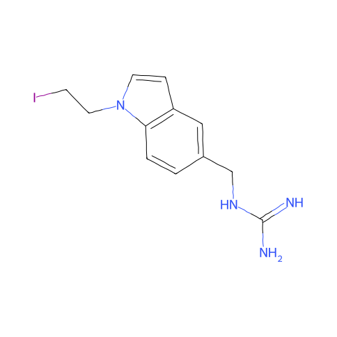 N=C(N)NCc1ccc2c(ccn2CCI)c1